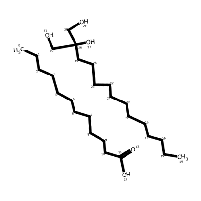 CCCCCCCCCCCC(=O)O.CCCCCCCCCCCCC(O)(CO)CO